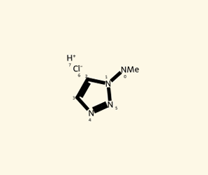 CNn1ccnn1.[Cl-].[H+]